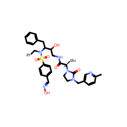 Cc1ccc(CN2CCN([C@@H](C(=O)NCC(O)C(Cc3ccccc3)N(CC(C)C)S(=O)(=O)c3ccc(/C=N/O)cc3)C(C)(C)C)C2=O)cn1